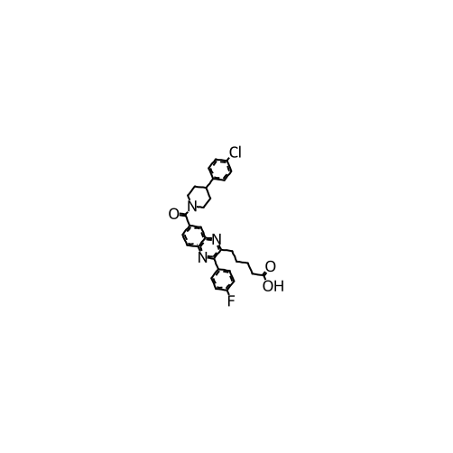 O=C(O)CCCCc1nc2cc(C(=O)N3CCC(c4ccc(Cl)cc4)CC3)ccc2nc1-c1ccc(F)cc1